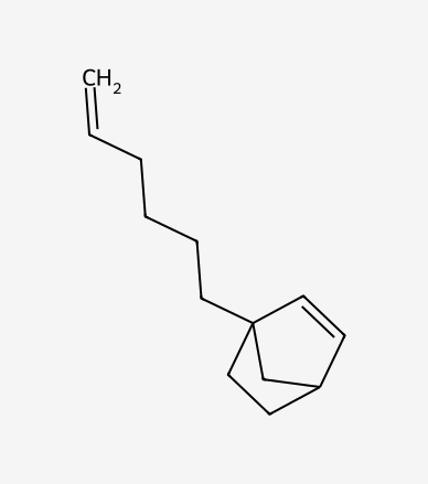 C=CCCCCC12C=CC(CC1)C2